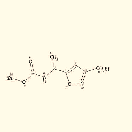 CCOC(=O)c1cc([C@@H](C)NC(=O)OC(C)(C)C)on1